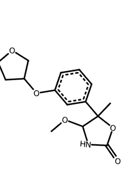 COC1NC(=O)OC1(C)c1cccc(OC2CCOC2)c1